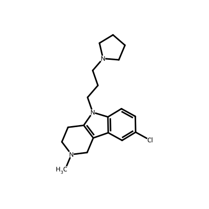 CN1CCc2c(c3cc(Cl)ccc3n2CCCN2CCCC2)C1